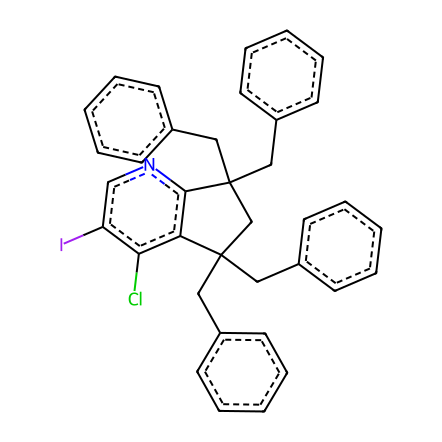 Clc1c(I)cnc2c1C(Cc1ccccc1)(Cc1ccccc1)CC2(Cc1ccccc1)Cc1ccccc1